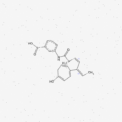 C=C(/C=C\C(=C/C)C1=CC=C(O)CC=C1)C(=O)Nc1cccc(S(=O)O)c1